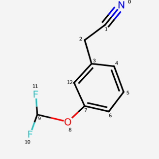 N#CCc1cccc(OC(F)F)c1